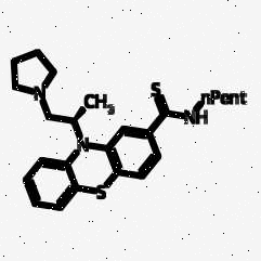 CCCCCNC(=S)c1ccc2c(c1)N([C@H](C)CN1CCCC1)c1ccccc1S2